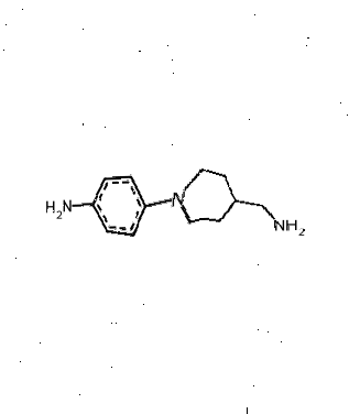 NCC1CCN(c2ccc(N)cc2)CC1